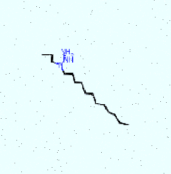 CCCCCCCCCCCCN(CCC)NN